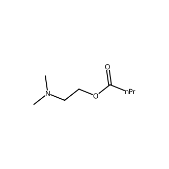 CCCC(=O)OCCN(C)C